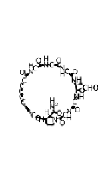 NC(=O)[C@@H]1[C@H]2CCN1C(=O)CNC(=O)CNC(=O)[C@H](CC=O)NC(=O)CNC(=O)CNC(=O)CNC(=O)CCCCC/C=C\CO2